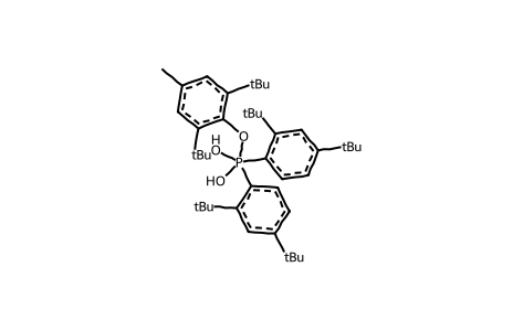 Cc1cc(C(C)(C)C)c(OP(O)(O)(c2ccc(C(C)(C)C)cc2C(C)(C)C)c2ccc(C(C)(C)C)cc2C(C)(C)C)c(C(C)(C)C)c1